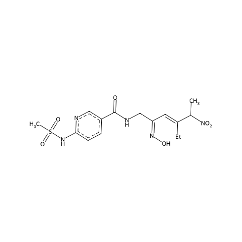 CCC(=CC(CNC(=O)c1ccc(NS(C)(=O)=O)nc1)=NO)C(C)[N+](=O)[O-]